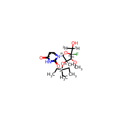 [2H]C([2H])(O)[C@@]1(F)O[C@@H](n2ccc(=O)[nH]c2=O)[C@](C)(O[Si](CC)(CC)CC)[C@@H]1OC